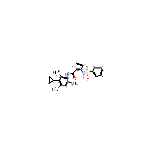 Cc1cc(C)c(C2CC2)c(C)c1NC(=O)c1sccc1NS(=O)(=O)c1ccccc1